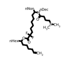 C=CCCCCC(CCCCCC)OC(=O)C(F)(F)CCCCCCC(CCCCCCCCC)N(CCCCCCCCCC)C(=O)CCCN(C)C